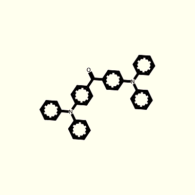 O=C(c1ccc(N(c2ccccc2)c2ccccc2)cc1)c1ccc(N(c2ccccc2)c2ccccc2)cc1